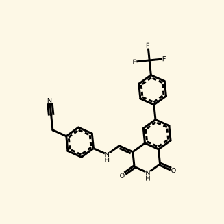 N#CCc1ccc(NC=C2C(=O)NC(=O)c3ccc(-c4ccc(C(F)(F)F)cc4)cc32)cc1